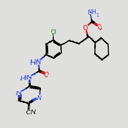 N#Cc1cnc(NC(=O)Nc2ccc(CCC(OC(N)=O)C3CCCCC3)c(Cl)c2)cn1